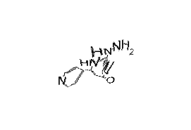 NNc1nc(=O)cc(-c2ccncc2)[nH]1